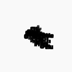 CC[C@H](C)[C@@H](C(CC(=O)N1CCC[C@H]1[C@H](OC)[C@@H](C)C(=O)N[C@@H](Cc1ccccc1)C(=O)OC)OC)N(C)C(=O)[C@@H](NC(=O)OC(C)(C)C)C(C)C